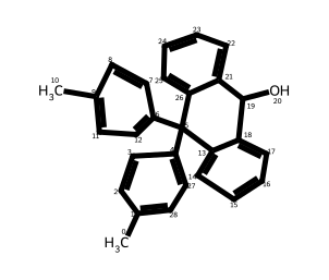 Cc1ccc(C2(c3ccc(C)cc3)c3ccccc3C(O)c3ccccc32)cc1